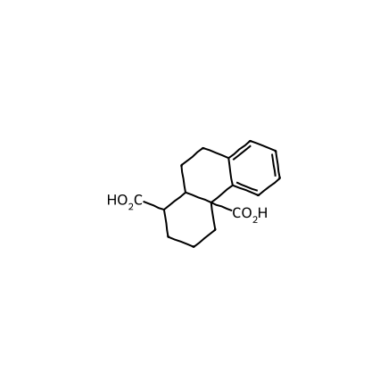 O=C(O)C1CCCC2(C(=O)O)c3ccccc3CCC12